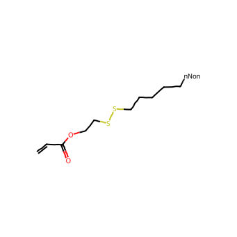 C=CC(=O)OCCSSCCCCCCCCCCCCCC